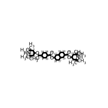 CC1(C)CC(OC(=O)C2CCC(C(=O)OC3CCC4CC(C(=O)OC5CC(C)(C)NC(C)(C)C5)CCC4C3)CC2)CC(C)(C)N1